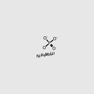 O=P([O-])([O-])[O-].[Fe+2].[Li+].[Mn+2].[Ni+2]